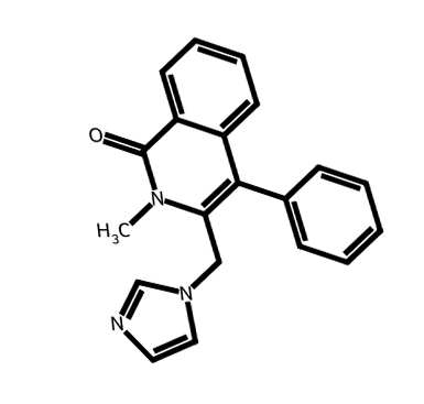 Cn1c(Cn2ccnc2)c(-c2ccccc2)c2ccccc2c1=O